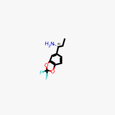 CC[C@@H](N)c1ccc2c(c1)OC(F)(F)O2